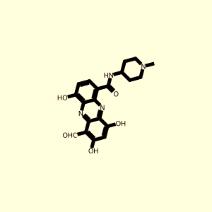 CN1CCC(NC(=O)c2ccc(O)c3nc4c(C=O)c(O)cc(O)c4nc23)CC1